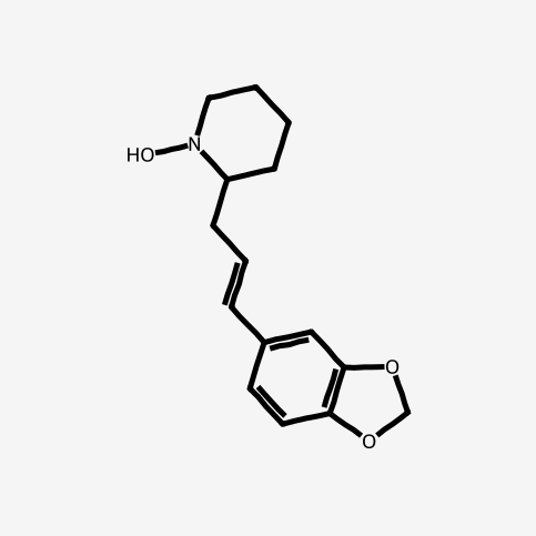 ON1CCCCC1CC=Cc1ccc2c(c1)OCO2